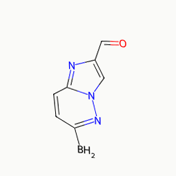 Bc1ccc2nc(C=O)cn2n1